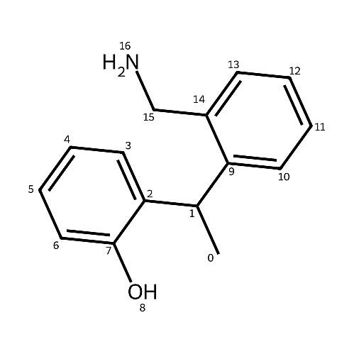 CC(c1ccccc1O)c1ccccc1CN